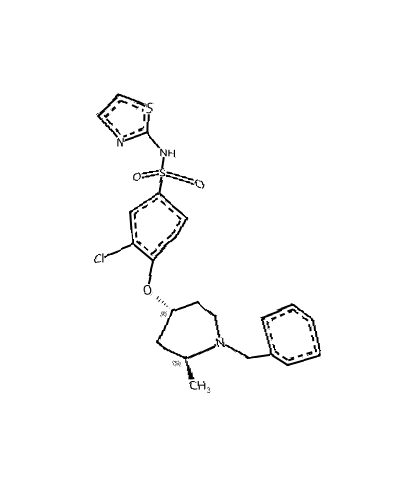 C[C@H]1C[C@H](Oc2ccc(S(=O)(=O)Nc3nccs3)cc2Cl)CCN1Cc1ccccc1